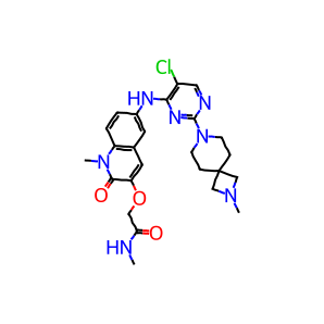 CNC(=O)COc1cc2cc(Nc3nc(N4CCC5(CC4)CN(C)C5)ncc3Cl)ccc2n(C)c1=O